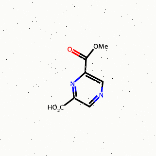 COC(=O)c1cncc(C(=O)O)n1